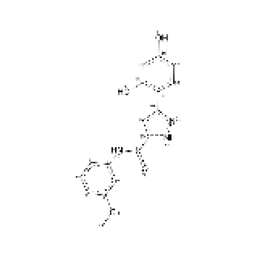 COc1cccc(NC(=O)c2cc(-c3ccc(O)cc3O)n[nH]2)c1